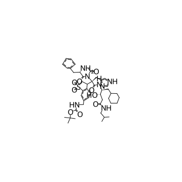 CC(=O)N(C(=O)[C@@H](N)Cc1ccccc1)[C@](Cc1c[nH]cn1)(C(=O)N[C@@H](CC1CCCCC1)[C@@H](O)CC(=O)NCC(C)C)C1CS(=O)(=O)c2cc(CNC(=O)OC(C)(C)C)ccc21